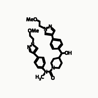 COCCn1cc(-c2ccc(C(O)C3CCN(C(=O)N(C)c4ccc(-c5cnn(CCOC)c5)cc4)CC3)cc2)cn1